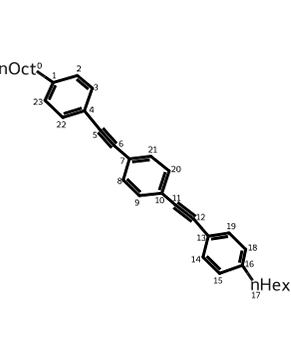 CCCCCCCCc1ccc(C#Cc2ccc(C#Cc3ccc(CCCCCC)cc3)cc2)cc1